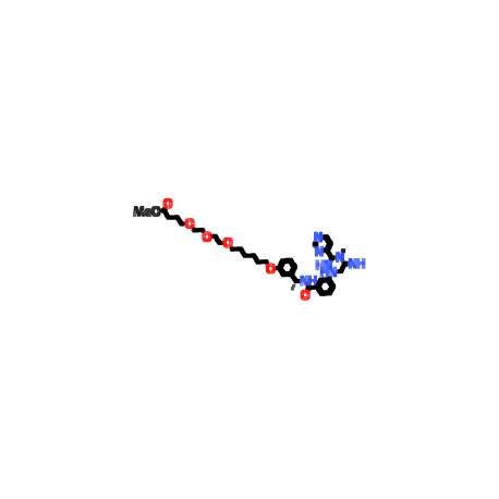 COC(=O)CCCOCCOCCOCCCCCCOc1cccc([C@@H](C)NC(=O)c2cccc(NCC(=N)N(C)C(=N)c3ccncn3)c2)c1